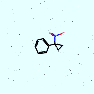 O=[N+]([O-])C1(c2ccccc2)CC1